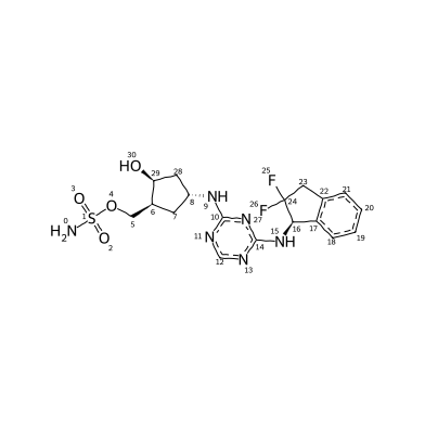 NS(=O)(=O)OC[C@@H]1C[C@@H](Nc2ncnc(N[C@@H]3c4ccccc4CC3(F)F)n2)C[C@@H]1O